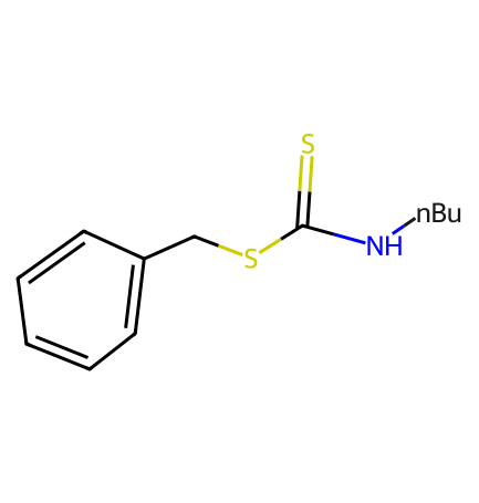 CCCCNC(=S)SCc1ccccc1